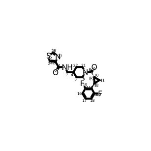 O=C(NCC1CCN(C(=O)[C@@H]2C[C@H]2c2c(F)cccc2F)CC1)c1cscn1